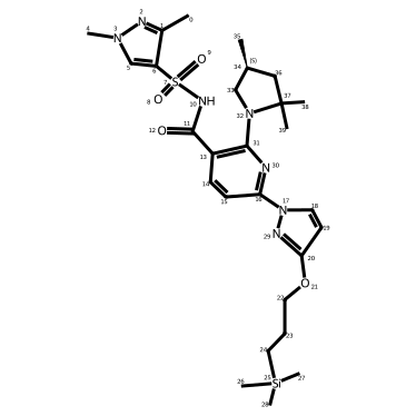 Cc1nn(C)cc1S(=O)(=O)NC(=O)c1ccc(-n2ccc(OCCC[Si](C)(C)C)n2)nc1N1C[C@@H](C)CC1(C)C